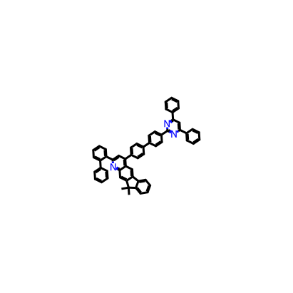 CC1(C)c2ccccc2-c2cc3c(-c4ccc(-c5ccc(-c6nc(-c7ccccc7)cc(-c7ccccc7)n6)cc5)cc4)cc(-c4ccccc4-c4ccccc4)nc3cc21